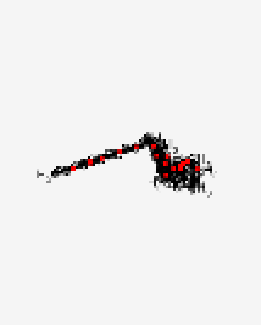 COCCOCCOCCOCCOCCOCCOCCOCCOCCOCCOCC(C)OCC(C)N1C(=O)c2ccc3c4ccc5c6c(ccc(c7ccc(c2c37)C1=O)c64)C(=O)N(C(C)COC(C)COC(C)COC(C)COC(C)COC(C)COC(C)COC(C)COC(C)COCCOC)C5=O